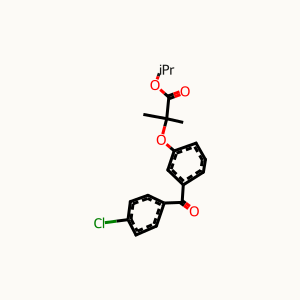 CC(C)OC(=O)C(C)(C)Oc1cccc(C(=O)c2ccc(Cl)cc2)c1